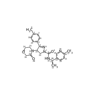 Cc1ccc(C2=NN(C(=O)N[C@H](C)c3ccc(C(F)(F)F)nc3)CC2N2CCOCC2=O)cc1